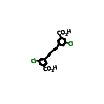 O=C(O)c1cc(Cl)cc(C#CC#Cc2cc(Cl)cc(C(=O)O)c2)c1